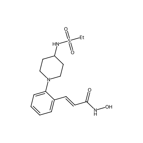 CCS(=O)(=O)NC1CCN(c2ccccc2C=CC(=O)NO)CC1